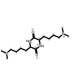 CN(C)CCCCC1NC(=O)C(CCCCN(C)C)NC1=O